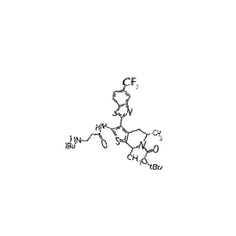 CC[C@H](C)NCCC(=O)Nc1sc2c(c1-c1nc3cc(C(F)(F)F)ccc3s1)CC(C)N(C(=O)OC(C)(C)C)C2C